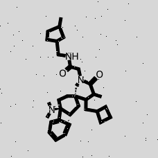 CC1CCC(CNC(=O)CN2C[C@]3(CC[C@](c4ccccc4)(N(C)C)CC3)C(CC3CCC3)C(C)C2=O)C1